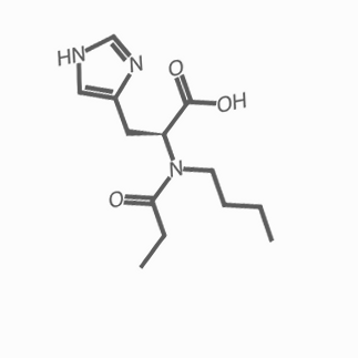 CCCCN(C(=O)CC)[C@@H](Cc1c[nH]cn1)C(=O)O